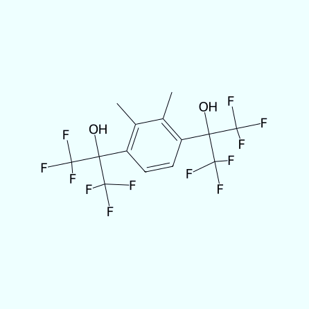 Cc1c(C(O)(C(F)(F)F)C(F)(F)F)ccc(C(O)(C(F)(F)F)C(F)(F)F)c1C